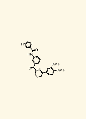 COc1ccc(C2=NN(C(=O)c3cccc(NC(=O)c4c[nH]cn4)c3)CCC2)cc1OC